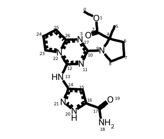 COC(=O)C1(C)CCCN1c1nc(Nc2cc(C(N)=O)[nH]n2)n2cccc2n1